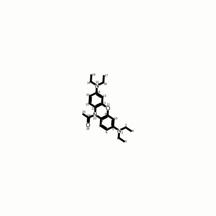 CCN(CC)c1ccc2c(c1)Oc1cc(N(CC)CC)ccc1N2C(C)=O